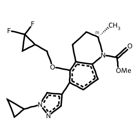 COC(=O)N1c2ccc(-c3cnn(C4CC4)c3)c(OCC3CC3(F)F)c2CC[C@@H]1C